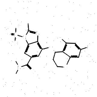 Cc1nc2c(O[C@H]3CCOc4cc(F)cc(F)c43)cc(C(=O)N(C)C)cc2n1P(=O)(O)O